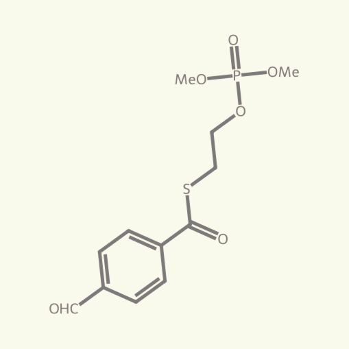 COP(=O)(OC)OCCSC(=O)c1ccc(C=O)cc1